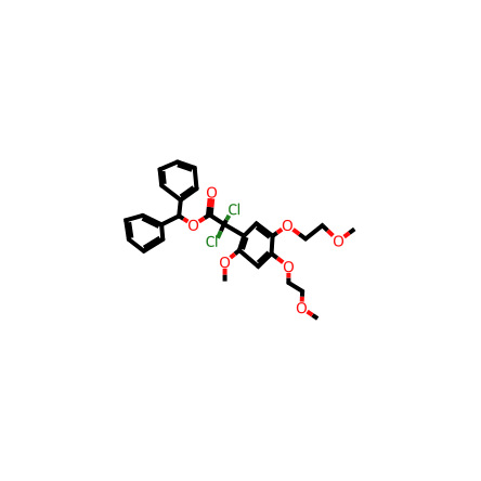 COCCOc1cc(OC)c(C(Cl)(Cl)C(=O)OC(c2ccccc2)c2ccccc2)cc1OCCOC